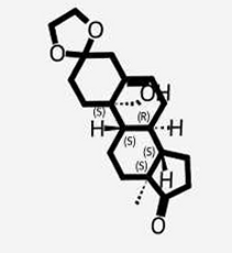 C[C@]12CC[C@H]3[C@@H](CC=C4CC5(CC[C@@]43CO)OCCO5)[C@@H]1CCC2=O